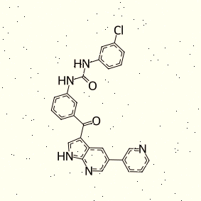 O=C(Nc1cccc(Cl)c1)Nc1cccc(C(=O)c2c[nH]c3ncc(-c4cccnc4)cc23)c1